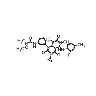 CON(C)C(=O)Nc1cccc(-n2c(=O)n(C3CC3)c(=O)c3c(Nc4ccc(C)cc4F)n(C)c(=O)c(C)c32)c1